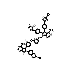 C#Cc1cnc2cc(-c3c(-c4ccc(Oc5nccc(CCn6c(-c7ccc(NC(=O)C(=C)C)nc7)c(-c7ccc(-c8noc(C9CC9)n8)cc7)c7c(N)ncnc76)n5)c(F)c4)c4c(N)ncnc4n3C)ccc2n1